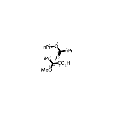 CCCOC(=O)CCC.COC(C(=O)O)C(C)C